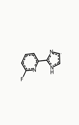 Fc1cccc(-c2n[c]c[nH]2)n1